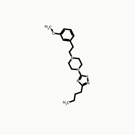 CCCCc1nsc(N2CCN(CCc3cccc(OC)c3)CC2)n1